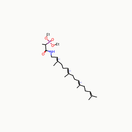 CCOP(=O)(OCC)C(C)C(=O)NC/C=C(\C)CC/C=C(\C)CC/C=C(\C)CCC=C(C)C